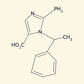 CC(c1ccccc1)n1c(C(=O)O)cnc1P